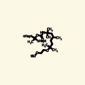 CCCCCCCC(C)(CCCCCCC)OC(=O)NC(C)(C)CC(C)CCC(C)(C)OCCOC(C)(C)C